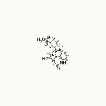 C#C[C@@H]1CC(=O)Nc2cccc(-c3cc4ccc(S(C)(=O)=O)cc4n3C)c2N1